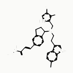 Cc1ccc2c(CCN(Cc3[nH]cc(Cl)c3Cl)C3CCc4cc(/C=C/C(=O)NO)ccc43)c[nH]c2c1